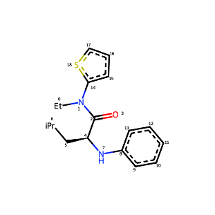 CCN(C(=O)[C@H](CC(C)C)Nc1ccccc1)c1cccs1